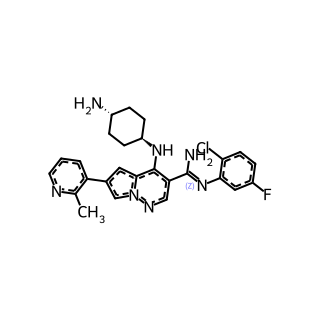 Cc1ncccc1-c1cc2c(N[C@H]3CC[C@H](N)CC3)c(/C(N)=N/c3cc(F)ccc3Cl)cnn2c1